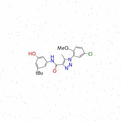 COc1ccc(Cl)cc1-n1nnc(C(=O)Nc2cc(O)cc(C(C)(C)C)c2)c1C